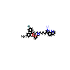 N#Cc1ccc2c(c1)COC2(CCCN(CCCCc1c[nH]c2c1ccc1cccnc12)Cc1ccco1)c1ccc(F)cc1